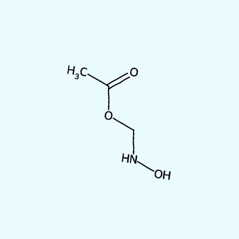 CC(=O)OCNO